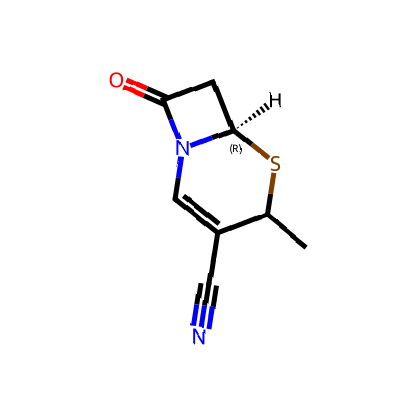 CC1S[C@@H]2CC(=O)N2C=C1C#N